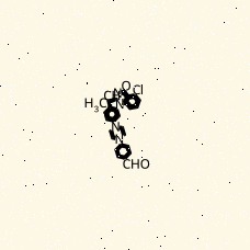 CC1(C)c2ccc(N3CCN(C4CCC(C=O)CC4)CC3)cc2-n2c1nc(=O)c1c(Cl)cccc12